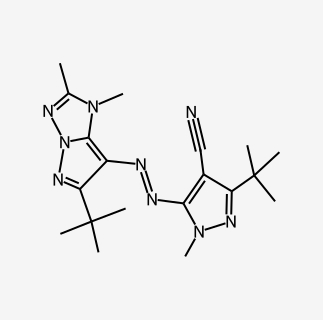 Cc1nn2nc(C(C)(C)C)c(/N=N/c3c(C#N)c(C(C)(C)C)nn3C)c2n1C